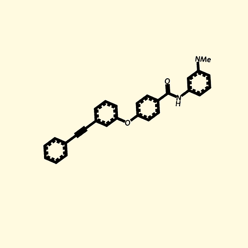 CNc1cccc(NC(=O)c2ccc(Oc3cccc(C#Cc4ccccc4)c3)cc2)c1